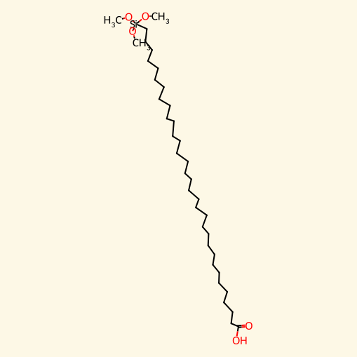 CO[Si](CCCCCCCCCCCCCCCCCCCCCCCCCCCCCCCCC(=O)O)(OC)OC